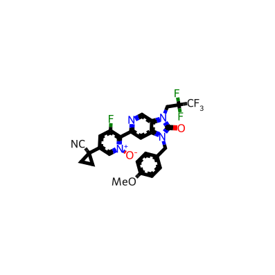 COc1ccc(Cn2c(=O)n(CC(F)(F)C(F)(F)F)c3cnc(-c4c(F)cc(C5(C#N)CC5)c[n+]4[O-])cc32)cc1